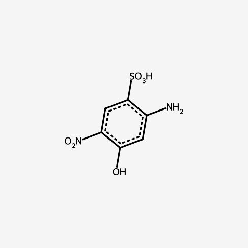 Nc1cc(O)c([N+](=O)[O-])cc1S(=O)(=O)O